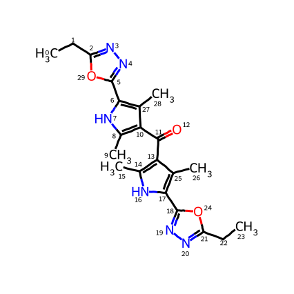 CCc1nnc(-c2[nH]c(C)c(C(=O)c3c(C)[nH]c(-c4nnc(CC)o4)c3C)c2C)o1